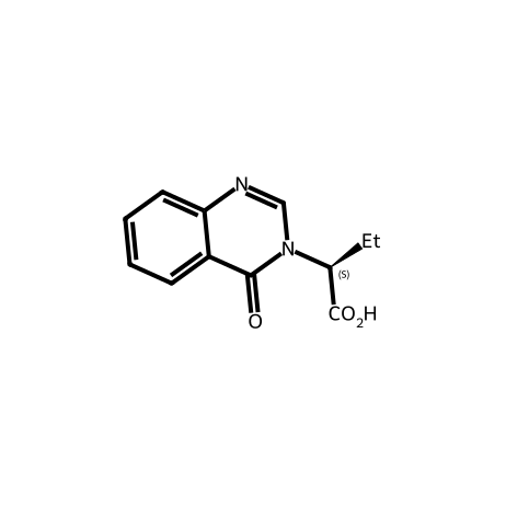 CC[C@@H](C(=O)O)n1cnc2ccccc2c1=O